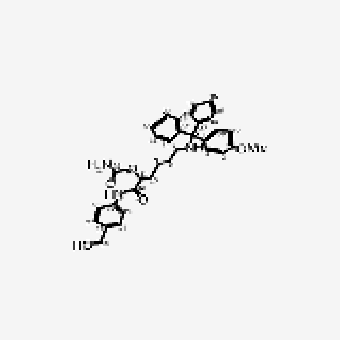 COc1ccc(C(NCCCCC(OC(N)=O)C(=O)Nc2ccc(CO)cc2)(c2ccccc2)c2ccccc2)cc1